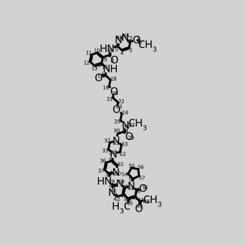 COc1ccc(NC(=O)c2ccccc2NC(=O)CCOCCOCCN(C)C(=O)CN2CCN(c3ccc(Nc4ncc5c(C)c(C(C)=O)c(=O)n(C6CCCC6)c5n4)nc3)CC2)nn1